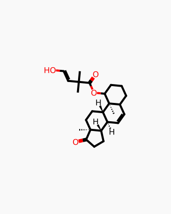 CC(C)(/C=C/O)C(=O)OC1CCCC2C=C[C@@H]3[C@H](CC[C@]4(C)C(=O)CC[C@@H]34)[C@]21C